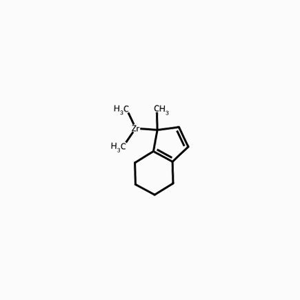 [CH3][Zr]([CH3])[C]1(C)C=CC2=C1CCCC2